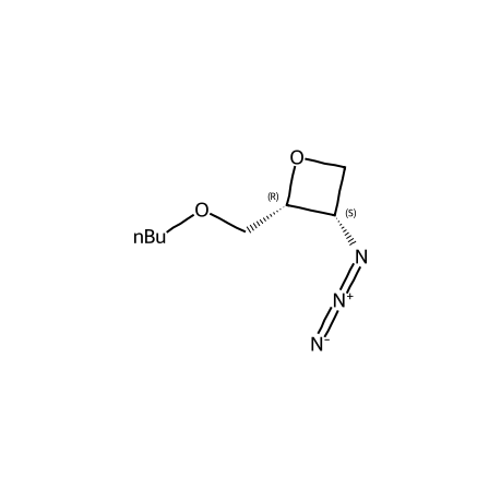 CCCCOC[C@@H]1OC[C@@H]1N=[N+]=[N-]